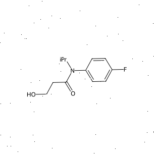 CC(C)N(C(=O)CCO)c1ccc(F)cc1